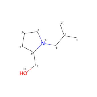 C[C](C)CN1CCCC1CO